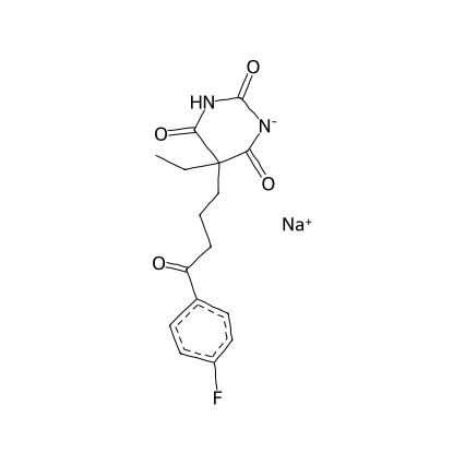 CCC1(CCCC(=O)c2ccc(F)cc2)C(=O)[N-]C(=O)NC1=O.[Na+]